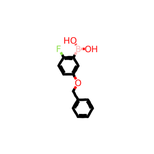 OB(O)c1cc(OCc2ccccc2)ccc1F